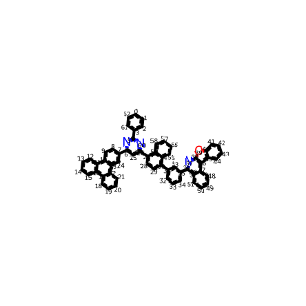 c1ccc(-c2nc(-c3ccc4c5ccccc5c5ccccc5c4c3)cc(-c3ccc(-c4cccc(-c5nc6oc7ccccc7c6c6ccccc56)c4)c4ccccc34)n2)cc1